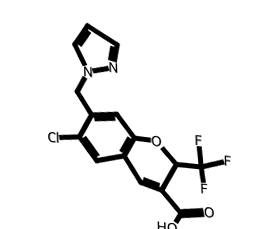 O=C(O)C1=Cc2cc(Cl)c(Cn3cccn3)cc2OC1C(F)(F)F